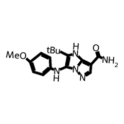 COc1ccc(Nc2c(C(C)(C)C)[nH]c3c(C(N)=O)cnn23)cc1